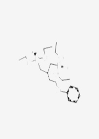 CCOP(=O)(CC(CCOc1ccccc1)CP(=O)(OCC)OCC)OCC